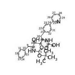 CC(C)(C)OC(=O)N[C@@H](Cc1ccccc1)[C@@H](O)C[C@@H](Cc1ccc(-c2ccccn2)cc1)NC(=O)O